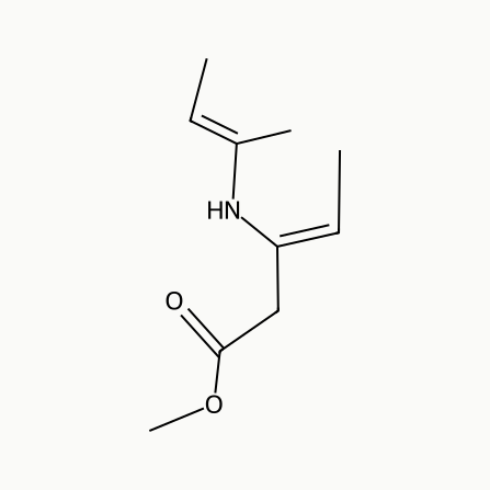 C/C=C(/CC(=O)OC)N/C(C)=C/C